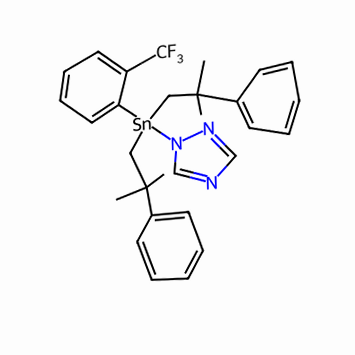 CC(C)([CH2][Sn]([CH2]C(C)(C)c1ccccc1)([c]1ccccc1C(F)(F)F)[n]1cncn1)c1ccccc1